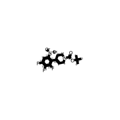 CC(C)(C)OC(=O)N1CC=C(c2c([N+](=O)[O-])cc(F)c(F)c2F)CC1